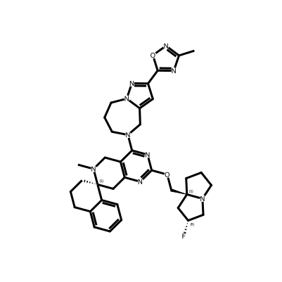 Cc1noc(-c2cc3n(n2)CCCN(c2nc(OC[C@@]45CCCN4C[C@H](F)C5)nc4c2CN(C)[C@@]2(CCCc5ccccc52)C4)C3)n1